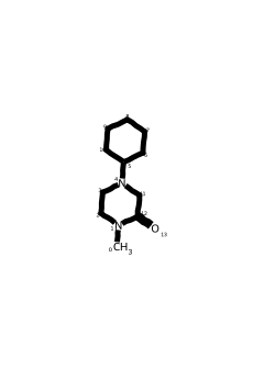 CN1CCN(C2CCCCC2)CC1=O